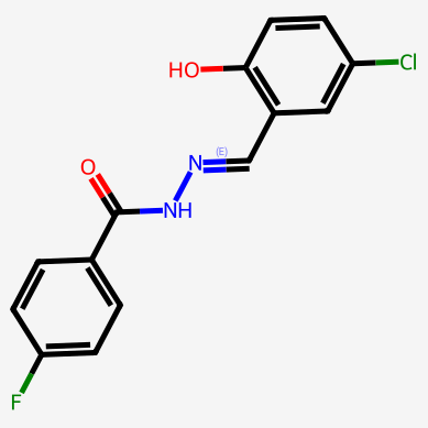 O=C(N/N=C/c1cc(Cl)ccc1O)c1ccc(F)cc1